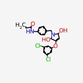 C=CC(=O)Nc1ccc(CN2C(O)C=C(Oc3cc(Cl)cc(Cl)c3)C2O)cc1